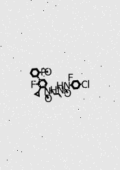 CC(CCN(C=O)c1ccc(-c2ccccc2P(C)(C)=O)c(F)c1C1CC1)NC(=O)Nc1ccc(Cl)cc1F